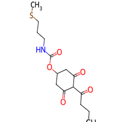 CCCC(=O)C1C(=O)CC(OC(=O)NCCCSC)CC1=O